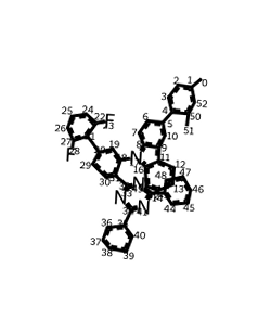 Cc1ccc(-c2ccc3c(c2)c2ccccc2n3-c2cc(-c3c(F)cccc3F)ccc2-c2nc(-c3ccccc3)nc(-c3ccccc3)n2)c(C)c1